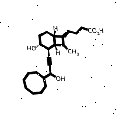 CC1C(=CCCC(=O)O)[C@H]2CC[C@@H](O)[C@H](C#CC(O)C3CCCCCCC3)[C@@H]12